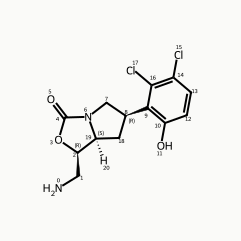 NC[C@H]1OC(=O)N2C[C@@H](c3c(O)ccc(Cl)c3Cl)C[C@@H]12